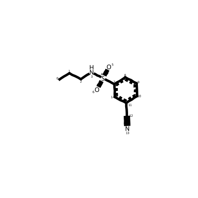 CCCNS(=O)(=O)c1cccc(C#N)c1